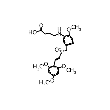 COc1cc(OC)c(C=C[S+]([O-])Cc2ccc(OC)c(NCCCC(=O)O)c2)c(OC)c1